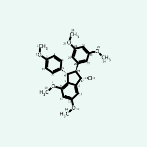 COc1ccc([C@H]2c3c(OC)cc(OC)cc3[C@@H](Cl)[C@@H]2c2cc(OC)cc(OC)c2)cc1